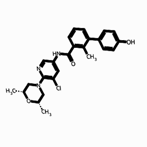 Cc1c(C(=O)Nc2cnc(N3C[C@@H](C)O[C@@H](C)C3)c(Cl)c2)cccc1-c1ccc(O)cc1